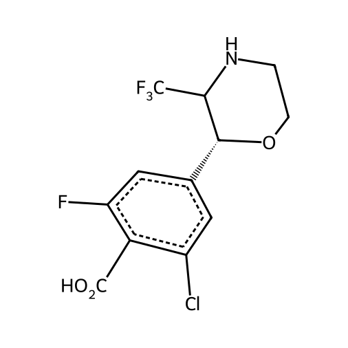 O=C(O)c1c(F)cc([C@H]2OCCNC2C(F)(F)F)cc1Cl